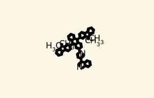 CC1(C)c2ccccc2-c2ccc(-c3c4ccccc4c(-c4ccc5c(c4)C(C)(C)c4ccccc4-5)c4cc(-c5ccc(-c6cncc7ccccc67)cn5)ccc34)cc21